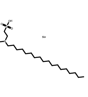 CCCCCCCCCCCCCCCCCCN(C)CCS(=O)(=O)O.[Na]